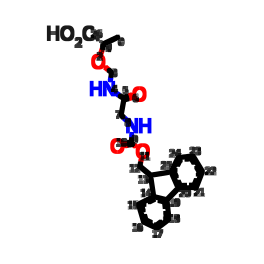 C[C@H](OCNC(=O)CNC(=O)OCC1c2ccccc2-c2ccccc21)C(=O)O